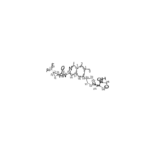 Cc1cc2cnc(NC(=O)[C@H]3C[C@@H]3C(F)F)cc2cc1C1CCN([C@]2(C)COC[C@@H]2O)CC1